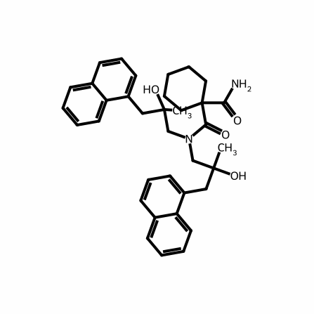 CC(O)(Cc1cccc2ccccc12)CN(CC(C)(O)Cc1cccc2ccccc12)C(=O)C1(C(N)=O)CCCCC1